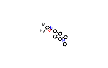 CCc1cc(C)c2oc(-c3ccc(-c4ccccc4C4CC=CC=C4c4ccc5c(c4)c4ccccc4n5-c4ccccc4)cc3)nc2c1